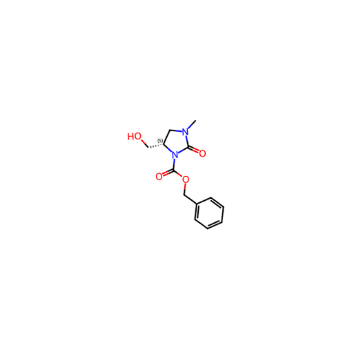 CN1C[C@@H](CO)N(C(=O)OCc2ccccc2)C1=O